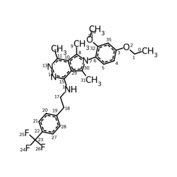 CCOc1ccc(-n2c(C)c3c(C)nnc(NCCc4ccc(C(F)(F)F)cc4)c3c2C)c(OC)c1